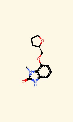 Cn1c(=O)[nH]c2cccc(OC[C@H]3CCCO3)c21